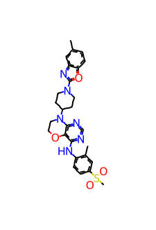 Cc1ccc2oc(N3CCC(N4CCOc5c(Nc6ccc(S(C)(=O)=O)cc6C)ncnc54)CC3)nc2c1